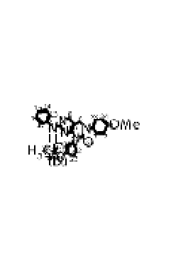 COc1ccc(N2Cc3cnc(Nc4ccccc4)nc3N(C3CCC(O[Si](C)(C)C(C)(C)C)C3)C2=O)cc1